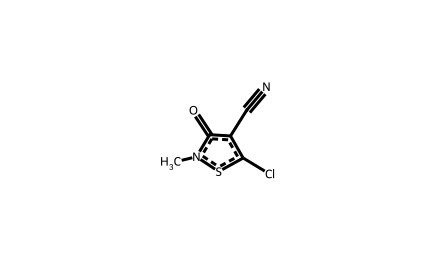 Cn1sc(Cl)c(C#N)c1=O